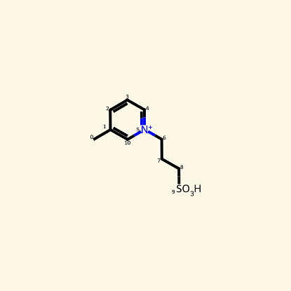 Cc1ccc[n+](CCCS(=O)(=O)O)c1